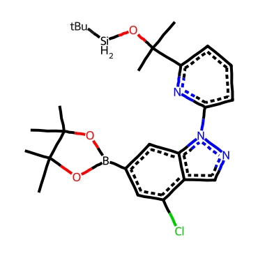 CC(C)(C)[SiH2]OC(C)(C)c1cccc(-n2ncc3c(Cl)cc(B4OC(C)(C)C(C)(C)O4)cc32)n1